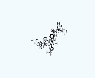 CC(C)/C=C(\C#N)C(=O)N1CCCC1Cn1c(NC(=O)c2ccc(C(F)F)s2)nc2cc(C(=O)NCC(C)(C)C)ccc21